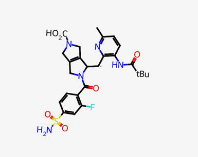 Cc1ccc(NC(=O)C(C)(C)C)c([CH]C2C3=C(CN(C(=O)O)C3)CN2C(=O)c2ccc(S(N)(=O)=O)cc2F)n1